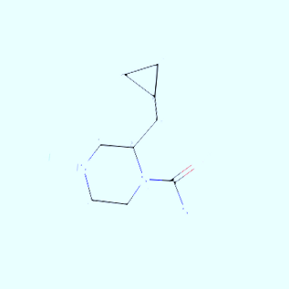 Cl.NC(=O)N1CCNCC1CC1CC1